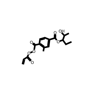 C=CC(=O)OOC(=O)c1ccc(C(=O)OC(CC)C(C)O)cc1C